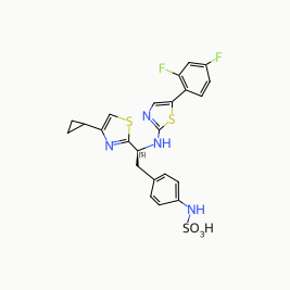 O=S(=O)(O)Nc1ccc(C[C@H](Nc2ncc(-c3ccc(F)cc3F)s2)c2nc(C3CC3)cs2)cc1